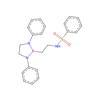 O=S(=O)(NCCP1N(c2ccccc2)CCN1c1ccccc1)c1ccccc1